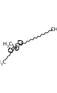 CCCCCCCCCCCCCCCCCCCN1C=CN(CCCCCCCC)C1(Cc1ccccc1)C(CC)c1ccccc1